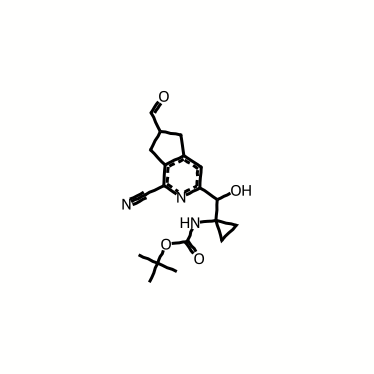 CC(C)(C)OC(=O)NC1(C(O)c2cc3c(c(C#N)n2)CC(C=O)C3)CC1